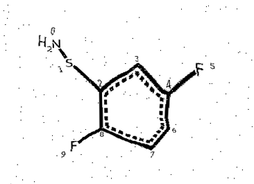 NSc1cc(F)ccc1F